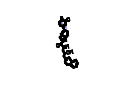 CN(C)/C=C\C(=C/C=O)c1ccc2nc(C(=O)NCC(O)CN3CCc4ccccc4C3)cn2c1